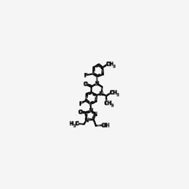 CCn1c(CO)nn(-c2cc3c(cc2F)C(=O)N(c2cc(C)ccc2F)CN3C(C)C)c1=O